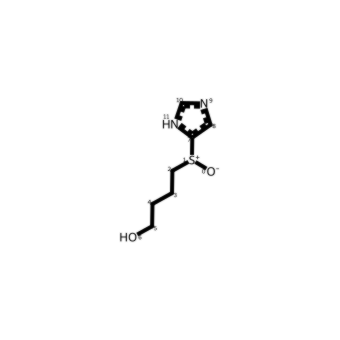 [O-][S+](CCCCO)c1cnc[nH]1